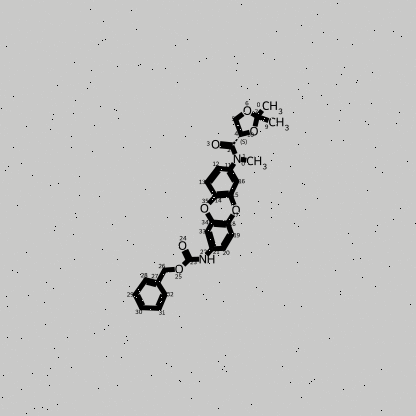 CN(C(=O)[C@@H]1COC(C)(C)O1)c1ccc2c(c1)Oc1ccc(NC(=O)OCc3ccccc3)cc1O2